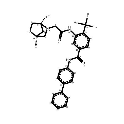 O=C(CN1C[C@@H]2C[C@H]1CO2)Nc1cc(C(=O)Nc2ccc(-c3ccccc3)cc2)ccc1C(F)(F)F